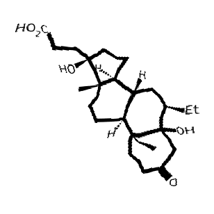 CC[C@@H]1C[C@H]2[C@@H]3CC[C@@](O)(CCC(=O)O)[C@@]3(C)CC[C@@H]2[C@@]2(C)CCC(=O)CC12O